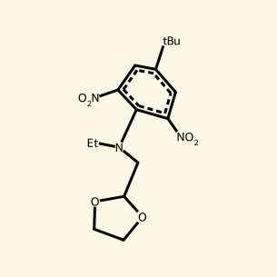 CCN(CC1OCCO1)c1c([N+](=O)[O-])cc(C(C)(C)C)cc1[N+](=O)[O-]